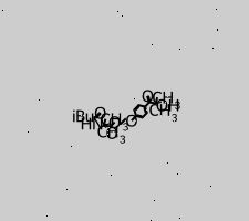 CCC(C)C(=O)NC(C)(C)C(=O)OCCOc1ccc(C(=O)C(C)(C)O)cc1